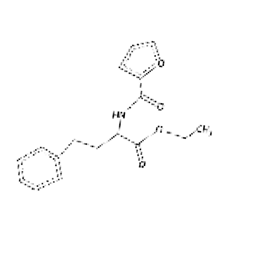 CCOC(=O)C(CCc1ccccc1)NC(=O)c1ccco1